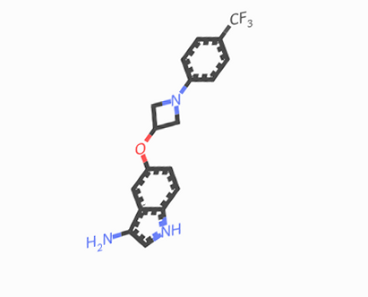 Nc1c[nH]c2ccc(OC3CN(c4ccc(C(F)(F)F)cc4)C3)cc12